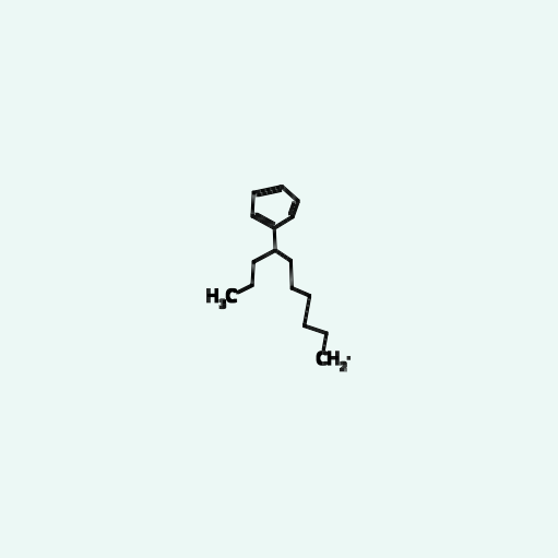 [CH2]CCCCCC(CCC)c1ccccc1